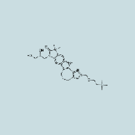 CC1(C)C(=O)N(CC(O)CO)c2cc3c4c([nH]c3cc21)-c1nn(COCC[Si](C)(C)C)cc1CCC4